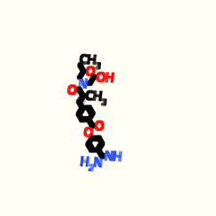 CCCCN(CC(=O)O)C(=O)/C(C)=C/c1ccc(C(=O)Oc2ccc(C(=N)N)cc2)cc1